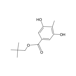 Cc1c(O)cc(C(=O)OCC(C)(C)C)cc1O